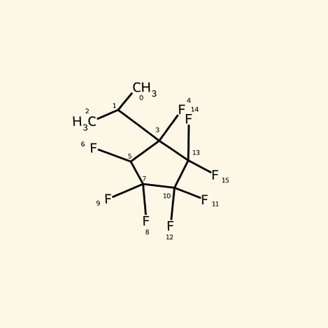 CC(C)C1(F)C(F)C(F)(F)C(F)(F)C1(F)F